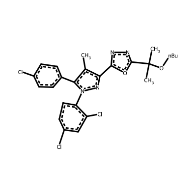 CCCCOC(C)(C)c1nnc(-c2nn(-c3ccc(Cl)cc3Cl)c(-c3ccc(Cl)cc3)c2C)o1